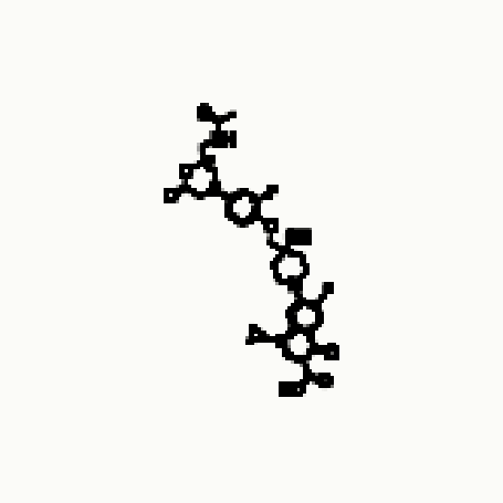 CC(=O)NC[C@H]1CN(c2ccc(OCC3(O)CCN(c4cc5c(cc4F)c(=O)c(C(=O)O)cn5C4CC4)CC3)c(F)c2)CC(=O)O1